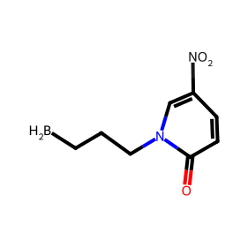 BCCCn1cc([N+](=O)[O-])ccc1=O